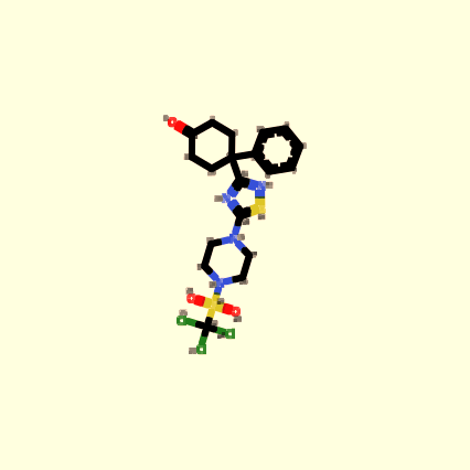 O=C1CCC(c2ccccc2)(c2nsc(N3CCN(S(=O)(=O)C(Cl)(Cl)Cl)CC3)n2)CC1